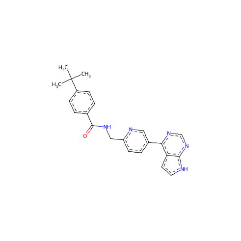 CC(C)(C)c1ccc(C(=O)NCc2ccc(-c3ncnc4[nH]ccc34)cn2)cc1